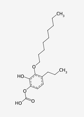 CCCCCCCCCOc1c(CCC)ccc(OC(=O)O)c1O